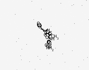 Cc1sc2ncn(CCCN3CCOCC3)c(=O)c2c1C(=O)Nc1ccc(S(N)(=O)=O)nc1